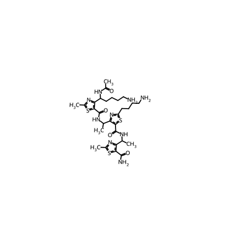 CC(=O)NC(CCCCN)c1nc(C)sc1C(=O)NC(C)c1nc(CCCCN)sc1C(=O)NC(C)c1nc(C)sc1C(N)=O